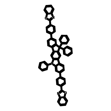 c1ccc(-n2c3cc(-c4ccc(-c5nc6ccccc6o5)cc4)ccc3c3cc4c(cc32)-c2ccc(-c3ccc(-c5nc6ccccc6o5)cc3)cc2C4(c2ccccc2)c2ccccc2)cc1